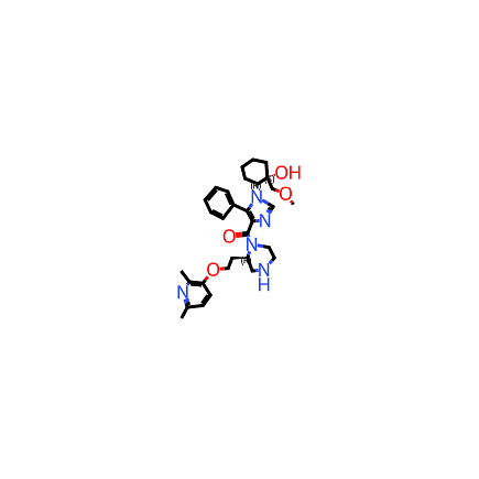 COC[C@]1(O)CCCC[C@H]1n1cnc(C(=O)N2CCNC[C@H]2CCOc2ccc(C)nc2C)c1-c1ccccc1